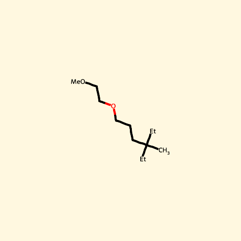 CCC(C)(CC)CCCOCCOC